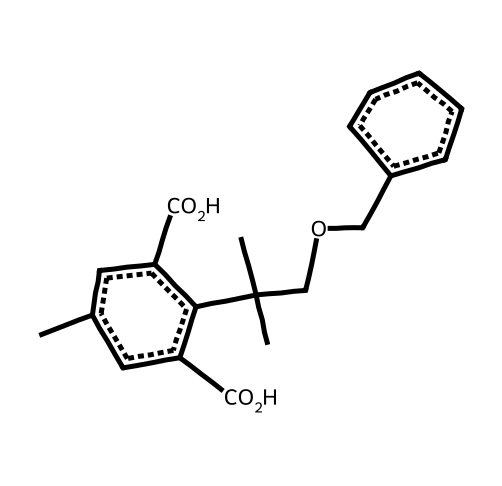 Cc1cc(C(=O)O)c(C(C)(C)COCc2ccccc2)c(C(=O)O)c1